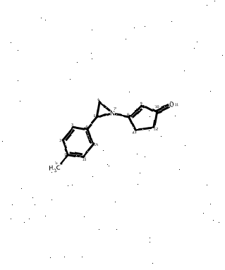 Cc1ccc(C2CN2C2=CC(=O)CC2)cc1